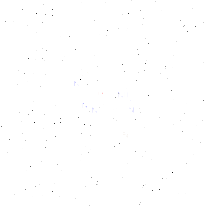 Nc1ncc(Br)cc1-c1nnc(-c2nccs2)o1